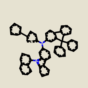 c1ccc(-c2ccc(N(c3ccc4c(c3)C(c3ccccc3)(c3ccccc3)c3ccccc3-4)c3ccc4c5ccccc5n(-c5cccc6ccccc56)c4c3)cc2)cc1